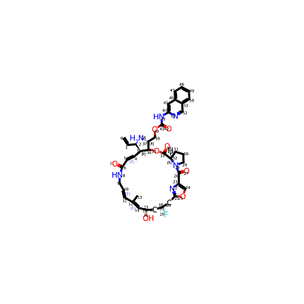 C=CC[C@@H]1/C=C/C(=O)NC/C=C/C(C)=C/[C@@H](O)C[C@@H](F)Cc2nc(co2)C(=O)N2CCC[C@@H]2C(=O)OC1[C@H](N)COC(=O)Nc1cc2ccccc2cn1